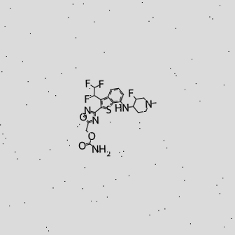 CN1CCC(Nc2cccc3c(C(F)C(F)F)c(-c4noc(COC(N)=O)n4)sc23)C(F)C1